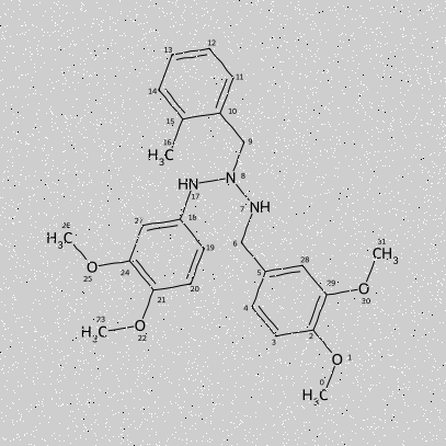 COc1ccc(CNN(Cc2ccccc2C)Nc2ccc(OC)c(OC)c2)cc1OC